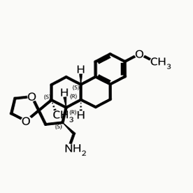 COc1ccc2c(c1)CC[C@H]1[C@@H]3[C@@H](CN)CC4(OCCO4)[C@@]3(C)CC[C@H]21